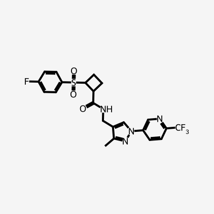 Cc1nn(-c2ccc(C(F)(F)F)nc2)cc1CNC(=O)C1CCC1S(=O)(=O)c1ccc(F)cc1